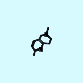 Cc1ccc2c(n1)CCN(C)C2